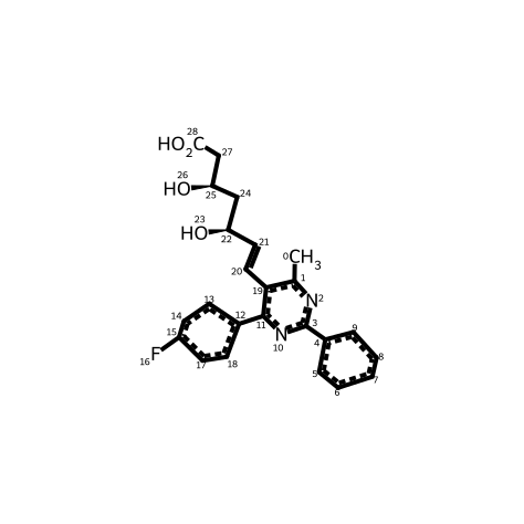 Cc1nc(-c2ccccc2)nc(-c2ccc(F)cc2)c1/C=C/[C@@H](O)C[C@@H](O)CC(=O)O